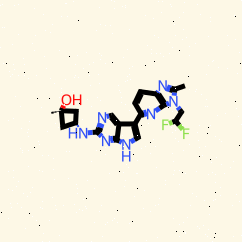 Cc1nc2ccc(-c3c[nH]c4nc(N[C@H]5C[C@](C)(O)C5)ncc34)nc2n1CC(F)F